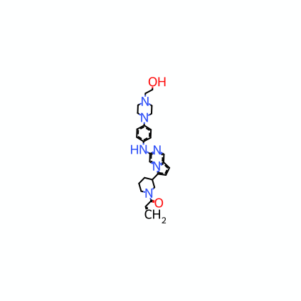 C=CC(=O)N1CCCC(c2ccc3cnc(Nc4ccc(N5CCN(CCO)CC5)cc4)cn23)C1